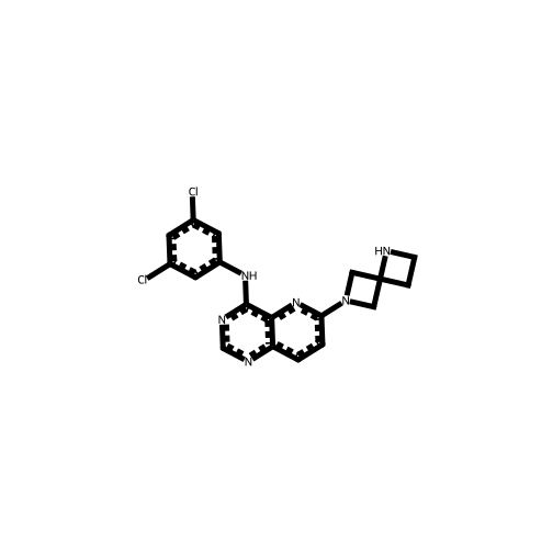 Clc1cc(Cl)cc(Nc2ncnc3ccc(N4CC5(CCN5)C4)nc23)c1